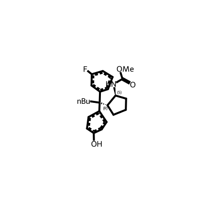 CCCCC(c1ccc(O)cc1)(c1cccc(F)c1)[C@H]1CCC[C@@H]1NC(=O)OC